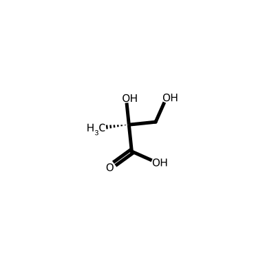 C[C@](O)(CO)C(=O)O